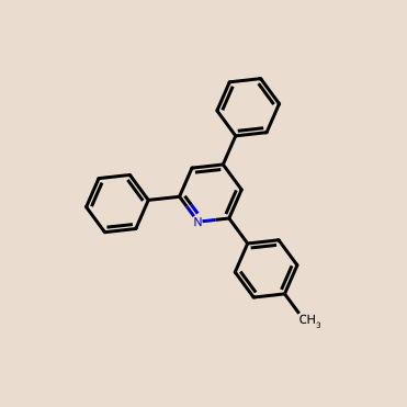 Cc1ccc(-c2cc(-c3ccccc3)cc(-c3ccccc3)n2)cc1